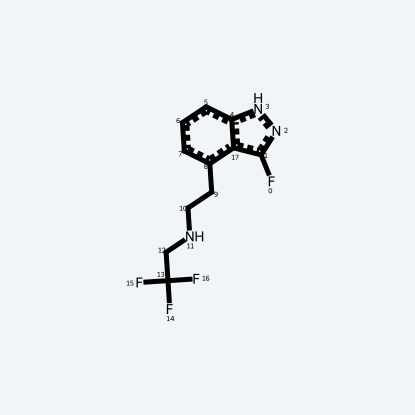 Fc1n[nH]c2cccc(CCNCC(F)(F)F)c12